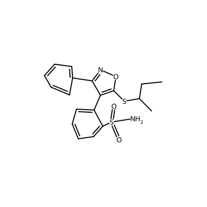 CCC(C)Sc1onc(-c2ccccc2)c1-c1ccccc1S(N)(=O)=O